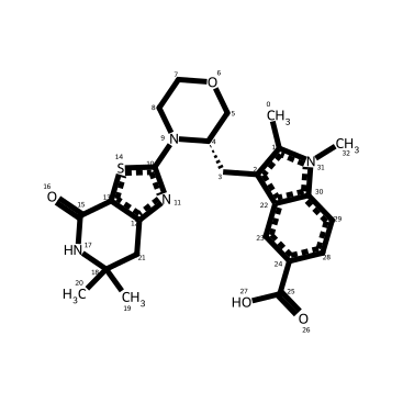 Cc1c(C[C@H]2COCCN2c2nc3c(s2)C(=O)NC(C)(C)C3)c2cc(C(=O)O)ccc2n1C